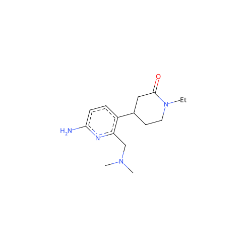 CCN1CCC(c2ccc(N)nc2CN(C)C)CC1=O